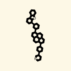 c1cncc(-c2ccc(-c3ccc4ccc5c(-c6cccc(-c7cccc8c7oc7ccccc78)c6)ccc6ccc3c4c65)cc2)c1